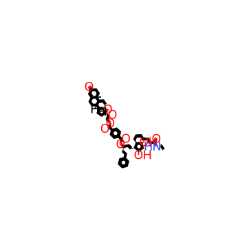 CCNC(=O)CCC/C=C\C[C@@H]1[C@@H](/C=C/[C@H](CCc2ccccc2)OC(=O)c2ccc(C(=O)OCC(=O)[C@@]34CC[C@H]5[C@@H]6CCC7=CC(=O)CC[C@]7(C)C6=CC[C@@]53O4)cc2)[C@H](O)C[C@@H]1O